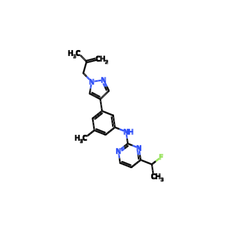 C=C(C)Cn1cc(-c2cc(C)cc(Nc3nccc(C(C)F)n3)c2)cn1